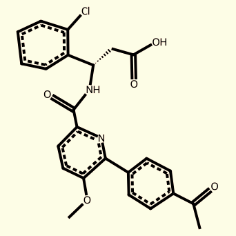 COc1ccc(C(=O)N[C@@H](CC(=O)O)c2ccccc2Cl)nc1-c1ccc(C(C)=O)cc1